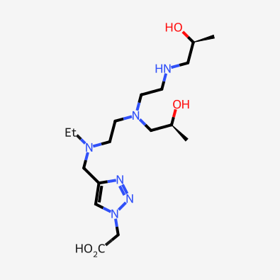 CCN(CCN(CCNC[C@H](C)O)C[C@H](C)O)Cc1cn(CC(=O)O)nn1